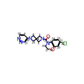 O=C(N1CC2(C1)CN(c1ccnnc1)C2)N1CCOc2cc(Cl)ccc21